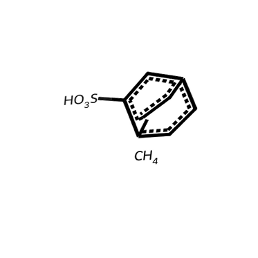 C.O=S(=O)(O)c1cc2ccc1cc2